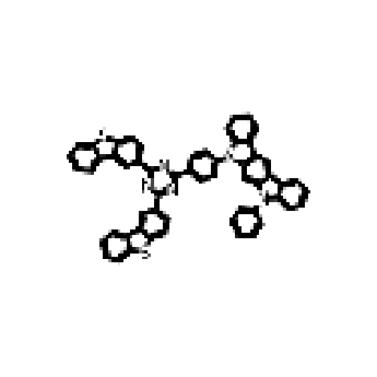 c1ccc(-n2c3ccccc3c3cc4c5ccccc5n(-c5ccc(-c6nc(-c7ccc8sc9ccccc9c8c7)nc(-c7ccc8sc9ccccc9c8c7)n6)cc5)c4cc32)cc1